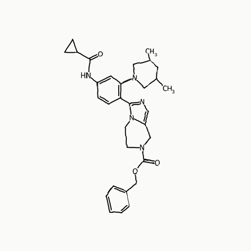 CC1CC(C)CN(c2cc(NC(=O)C3CC3)ccc2-c2ncc3n2CCN(C(=O)OCc2ccccc2)C3)C1